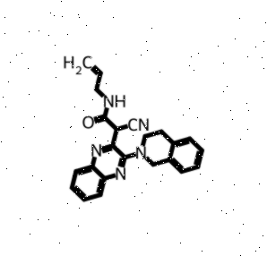 C=CCNC(=O)C(C#N)c1nc2ccccc2nc1N1CCc2ccccc2C1